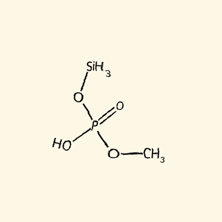 COP(=O)(O)O[SiH3]